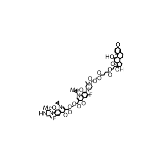 COc1c(N2CCN(C(=O)OCOC(=O)CCC(=O)OCC(=O)[C@@]3(O)CCC4C5CCC6=CC(=O)C=C[C@]6(C)C5[C@@H](O)C[C@@]43C)C(C)C2)c(F)cc2c(=O)c(C(=O)OCOC(=O)c3cn(C4CC4)c4c(OC)c(N5CCNCC5C)c(F)cc4c3=O)cn(C3CC3)c12